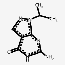 CC(C)n1ncc2c(=O)[nH]c(N)nc21